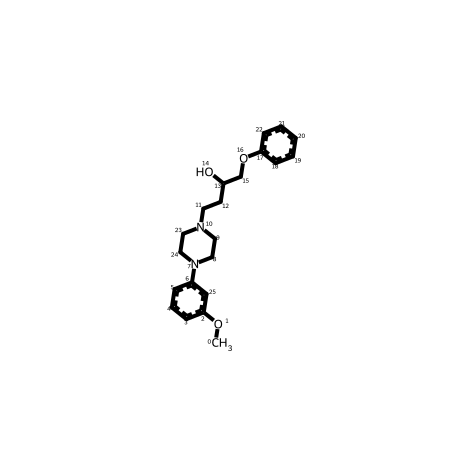 COc1cccc(N2CCN(CCC(O)COc3ccccc3)CC2)c1